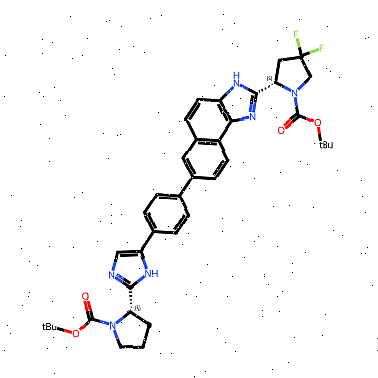 CC(C)(C)OC(=O)N1CCC[C@H]1c1ncc(-c2ccc(-c3ccc4c(ccc5[nH]c([C@@H]6CC(F)(F)CN6C(=O)OC(C)(C)C)nc54)c3)cc2)[nH]1